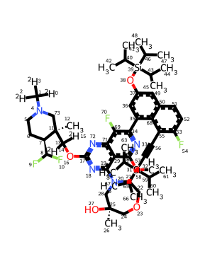 [2H]C([2H])([2H])N1CC[C@H](C(F)F)[C@](C)(C([2H])([2H])Oc2nc(N3CCOC[C@@](C)(O)C3)c3c(OC)nc(-c4cc(O[Si](C(C)C)(C(C)C)C(C)C)cc5ccc(F)c(C#C[Si](C(C)C)(C(C)C)C(C)C)c45)c(F)c3n2)C1